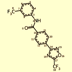 O=C(Nc1cccc(C(F)(F)F)c1)c1ccc(-c2noc(C(F)(F)F)n2)cc1